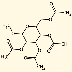 COC1OC(COC(C)=O)C(OC(C)=O)C(OC(C)=O)C1OC(C)=O